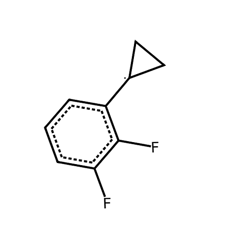 Fc1cccc([C]2CC2)c1F